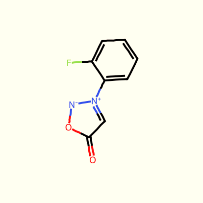 O=c1c[n+](-c2ccccc2F)[n-]o1